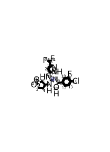 O=S1(=O)CCC(N/C(=N\C(O)c2ccc(Cl)c(F)c2)Nc2cc(C(F)F)n[nH]2)C1